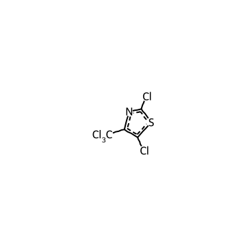 Clc1nc(C(Cl)(Cl)Cl)c(Cl)s1